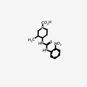 CC1CN(C(=O)O)CCC1NC(=S)Nc1ccccc1[N+](=O)[O-]